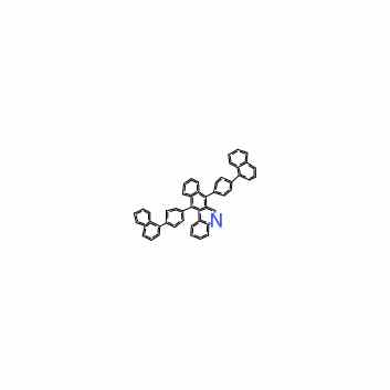 c1ccc2c(-c3ccc(-c4c5ccccc5c(-c5ccc(-c6cccc7ccccc67)cc5)c5c4cnc4ccccc45)cc3)cccc2c1